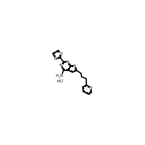 Cl.Nc1nc(-c2ncco2)nc2sc(CCCc3ccccn3)cc12